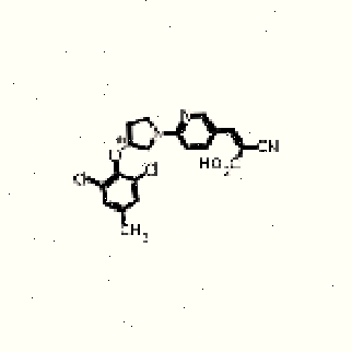 Cc1cc(Cl)c(O[C@@H]2CCN(c3ccc(C=C(C#N)C(=O)O)cn3)C2)c(Cl)c1